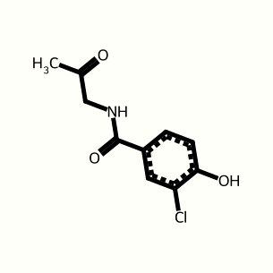 CC(=O)CNC(=O)c1ccc(O)c(Cl)c1